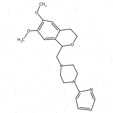 COc1cc2c(cc1OC)C(CN1CCN(c3ccccn3)CC1)OCC2